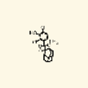 COC1(c2ccc(Cl)c(O)c2Cl)OOC12C1CC3CC(C1)CC2C3